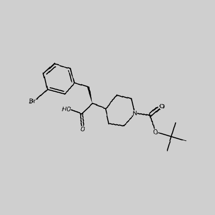 CC(C)(C)OC(=O)N1CCC([C@H](Cc2cccc(Br)c2)C(=O)O)CC1